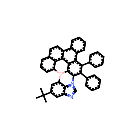 CC(C)(C)c1cc2c3c(c1)ncn3-c1c(-c3ccccc3)c(-c3ccccc3)c3c4ccccc4c4ccc5cccc6c5c4c3c1B62